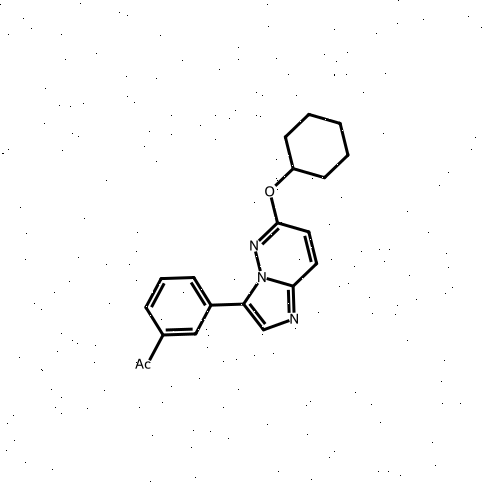 CC(=O)c1cccc(-c2cnc3ccc(OC4CCCCC4)nn23)c1